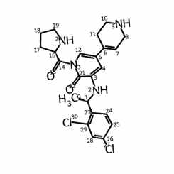 C[C@@H](Nc1cc(C2=CCNCC2)cn(C(=O)[C@H]2CCCN2)c1=O)c1ccc(Cl)cc1Cl